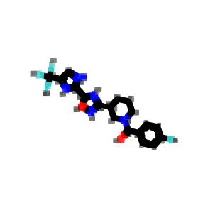 O=C(c1ccc(F)cc1)N1CCC[C@H](c2noc(-c3nc(C(F)(F)F)c[nH]3)n2)C1